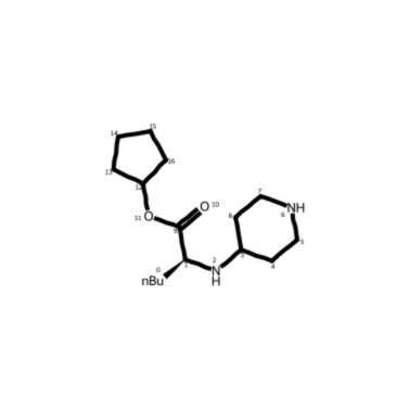 CCCC[C@H](NC1CCNCC1)C(=O)OC1CCCC1